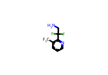 NCC(F)(F)c1ncccc1C(F)(F)F